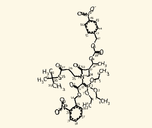 CCOP(OCC)(OCC)=C(C(=O)OCc1ccccc1[N+](=O)[O-])[N+]1(CCC(=O)SC(C)(C)C)CC(C(C)OC(=O)OCc2ccc([N+](=O)[O-])cc2)C1=O